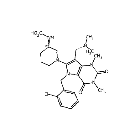 CN(C)Cc1c(N2CCC[C@@H](NC(=O)O)C2)n(Cc2ccccc2Cl)c2c(=O)n(C)c(=O)n(C)c12